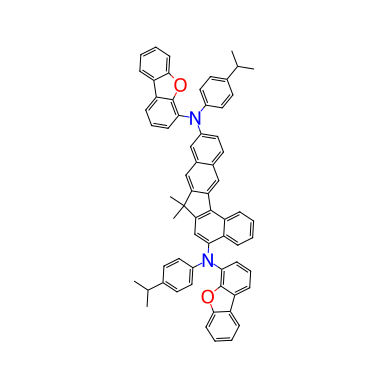 CC(C)c1ccc(N(c2ccc3cc4c(cc3c2)C(C)(C)c2cc(N(c3ccc(C(C)C)cc3)c3cccc5c3oc3ccccc35)c3ccccc3c2-4)c2cccc3c2oc2ccccc23)cc1